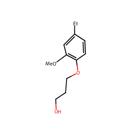 CCc1ccc(OCCCO)c(OC)c1